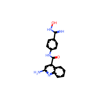 N=C(NO)c1ccc(NC(=O)c2cc(N)nc3ccccc23)cc1